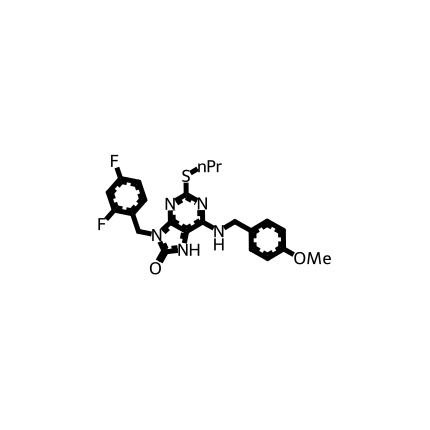 CCCSc1nc(NCc2ccc(OC)cc2)c2[nH]c(=O)n(Cc3ccc(F)cc3F)c2n1